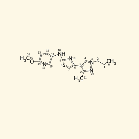 CCCn1cc(-c2csc(Nc3ccc(OC)nc3)n2)c(C)n1